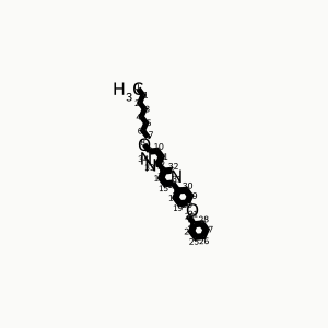 CCCCCCCCOc1ccc(-c2ccc(-c3ccc(OCc4ccccc4)cc3)nc2)nn1